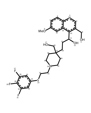 COc1ccc2ncc(CO)c(C(O)CCC3(CO)CCN(CCSc4cc(F)c(F)c(F)c4)CC3)c2c1